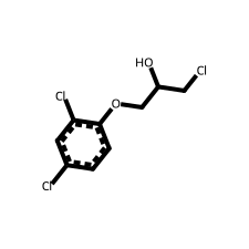 OC(CCl)COc1ccc(Cl)cc1Cl